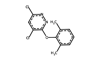 Cc1cccc(C)c1Oc1nnc(Cl)cc1Cl